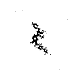 Nc1ncnn2c(-c3ccc(Cl)c(C(=O)N[C@@H]4CN(C(=O)CC(F)(F)F)C[C@@H]4F)c3)cc(CN3CCC(F)(F)CC3)c12